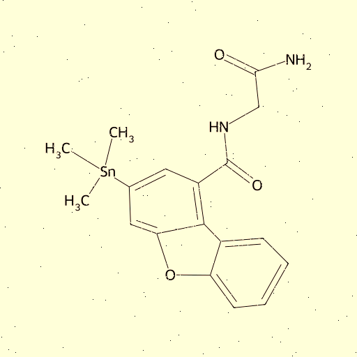 [CH3][Sn]([CH3])([CH3])[c]1cc(C(=O)NCC(N)=O)c2c(c1)oc1ccccc12